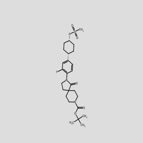 CC(C)(C)OC(=O)N1CCC2(CC1)CCN(c1ccc([C@H]3CC[C@@H](OS(C)(=O)=O)CC3)cc1F)C2=O